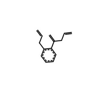 C=CCC(=C)c1ccccc1CC=C